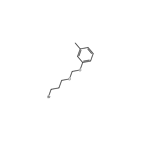 Cc1cccc(OCOCCCBr)c1